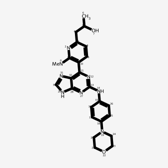 CNc1nc(CC(C)O)ccc1-c1nc(Nc2ccc(N3CCOCC3)cc2)nc2[nH]cnc12